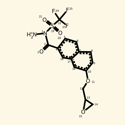 NN(C(=O)c1ccc2ccc(OCC3CO3)cc2c1)S(=O)(=O)C(F)(F)F